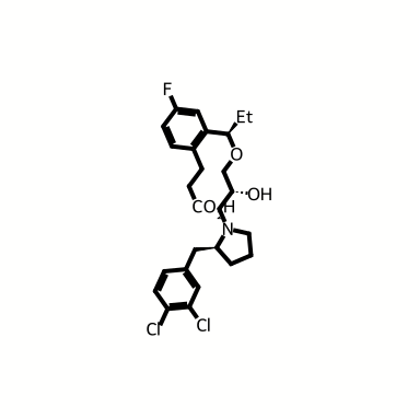 CC[C@@H](OC[C@H](O)CN1CCC[C@H]1Cc1ccc(Cl)c(Cl)c1)c1cc(F)ccc1CCC(=O)O